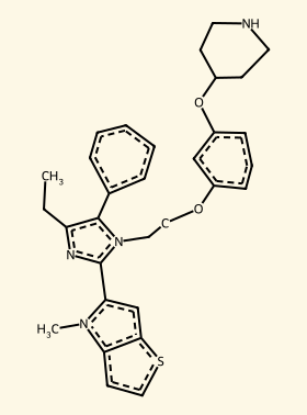 CCc1nc(-c2cc3sccc3n2C)n(CCOc2cccc(OC3CCNCC3)c2)c1-c1ccccc1